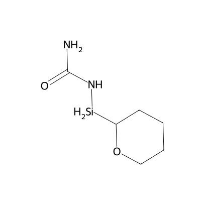 NC(=O)N[SiH2]C1CCCCO1